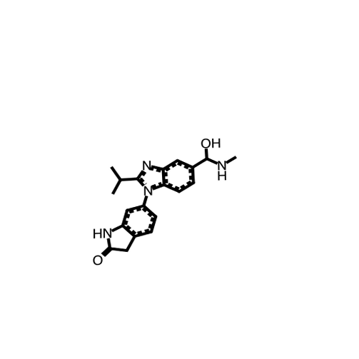 CNC(O)c1ccc2c(c1)nc(C(C)C)n2-c1ccc2c(c1)NC(=O)C2